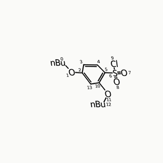 CCCCOc1ccc(S(=O)(=O)Cl)c(OCCCC)c1